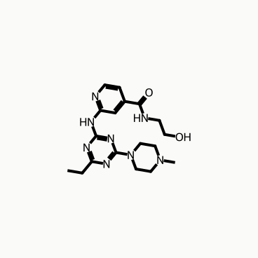 CCc1nc(Nc2cc(C(=O)NCCO)ccn2)nc(N2CCN(C)CC2)n1